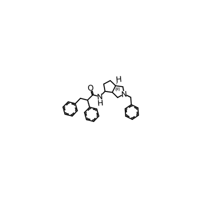 O=C(NC1CC[C@H]2CN(Cc3ccccc3)CC12)C(Cc1ccccc1)c1ccccc1